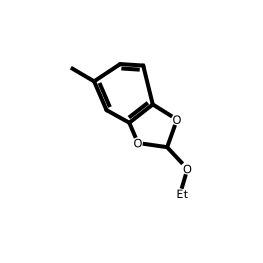 CCOC1Oc2ccc(C)cc2O1